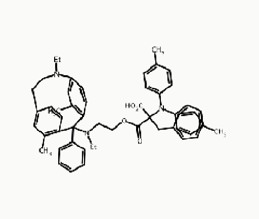 CCN1CCc2ccc(c(C)c2)C(c2ccccc2)(N(CC)CCOC(=O)C(Cc2ccccc2)(C(=O)O)N(c2ccc(C)cc2)c2ccc(C)cc2)c2ccc1cc2C